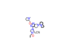 C=CC(=O)N1CCN(c2nc(OCC3CCCN3C)nc3c2CCN(c2cccc4cccn24)C3)CC1CC#N